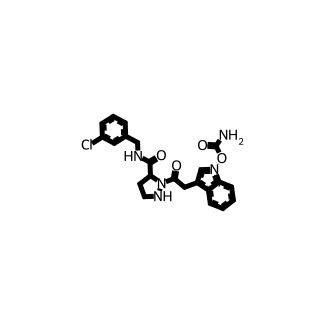 NC(=O)On1cc(CC(=O)N2NCCC2C(=O)NCc2cccc(Cl)c2)c2ccccc21